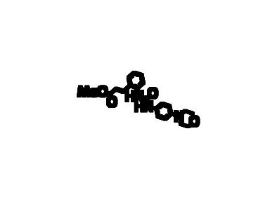 COC(=O)/C=C/c1ccccc1NC(=O)Nc1ccc(N2CCOCC2)cc1